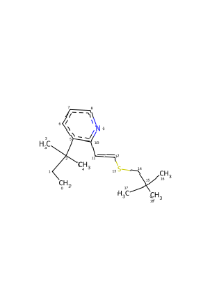 CCC(C)(C)c1cccnc1/C=C/SCC(C)(C)C